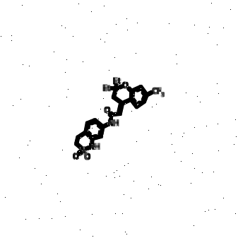 CCC1(CC)CC(=CC(=O)Nc2ccc3c(c2)NS(=O)(=O)CC3)c2ccc(C(F)(F)F)cc2O1